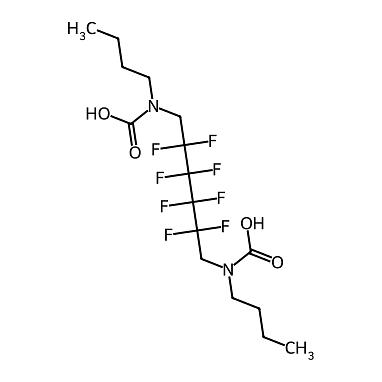 CCCCN(CC(F)(F)C(F)(F)C(F)(F)C(F)(F)CN(CCCC)C(=O)O)C(=O)O